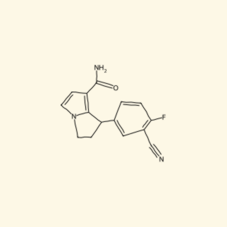 N#Cc1cc(C2CCn3ccc(C(N)=O)c32)ccc1F